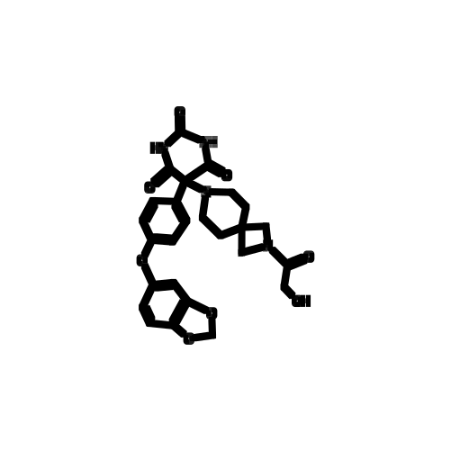 O=C1NC(=O)C(c2ccc(Oc3ccc4c(c3)OCO4)cc2)(N2CCC3(CC2)CN(C(=O)CO)C3)C(=O)N1